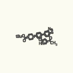 CC(Oc1cc(-c2ccc(N3CCN(C(=O)OC(C)(C)C)CC3)cn2)cc2ncsc12)[C@H]1CNC(=O)C1